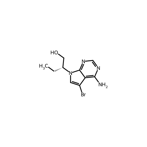 CC[C@H](CO)n1cc(Br)c2c(N)ncnc21